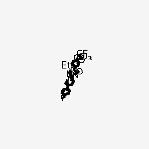 CCc1cc(OS(=O)(=O)C(F)(F)F)ccc1-n1cnc(N2CC=C(c3ccc(F)cc3)CC2)nc1=O